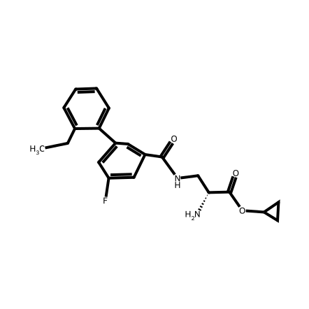 CCc1ccccc1-c1cc(F)cc(C(=O)NC[C@@H](N)C(=O)OC2CC2)c1